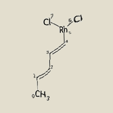 CC=CC=[CH][Rh]([Cl])[Cl]